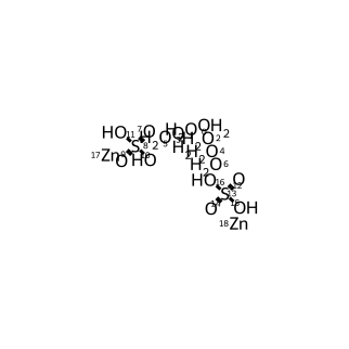 O.O.O.O.O.O.O.O=S(=O)(O)O.O=S(=O)(O)O.[Zn].[Zn]